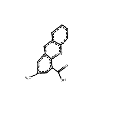 Cc1cc(C(=O)O)c2nc3ccccc3cc2c1